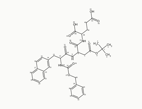 CC(C)(C)OC(=O)CC(NC(=O)C(Cc1ccc2ccccc2c1)NC(=O)OCc1ccccc1)C(=O)NC(CCC(=O)O)C(=O)O